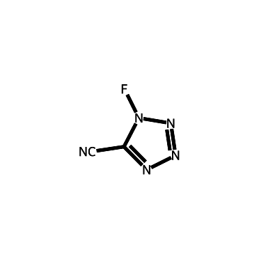 N#Cc1nnnn1F